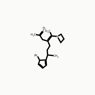 C=C(C)C/C(CCC(C)C1=CC=CC1C(C)C)=C(\C)N1CCC1